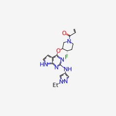 C=CC(=O)N1CC[C@H](F)[C@@H](Oc2nc(Nc3cnn(CC)c3)nc3[nH]ccc23)C1